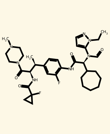 CCn1nccc1N(C=O)[C@H](C(=O)Nc1ccc([C@H](C)[C@@H](NC(=O)C2(F)CC2)C(=O)N2CCN(C)CC2)cc1F)C1CCCCCC1